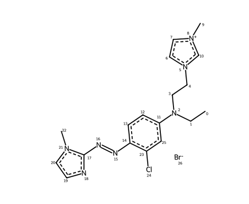 CCN(CCn1cc[n+](C)c1)c1ccc(N=Nc2nccn2C)c(Cl)c1.[Br-]